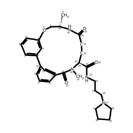 C[C@H]1COc2cccc(c2)-c2cccc(c2)C(=O)N(C)[C@H](C(=O)NCCCN2CCCC2)CCC(=O)N1